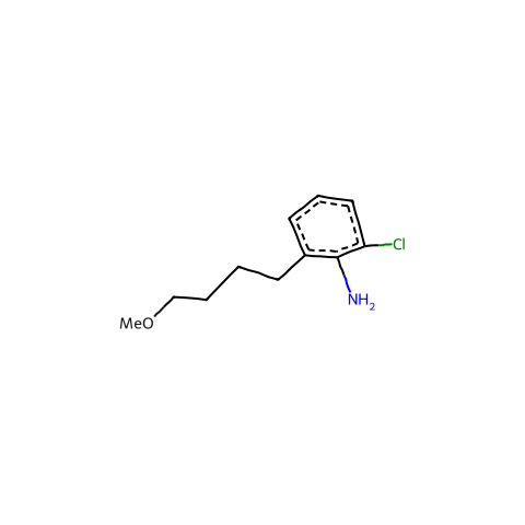 COCCCCc1cccc(Cl)c1N